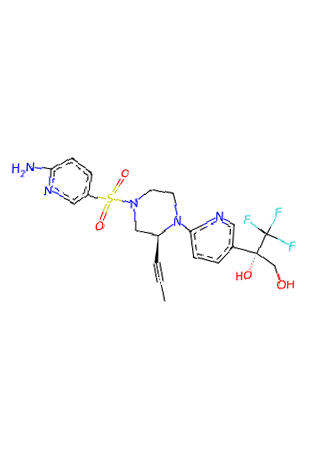 CC#C[C@H]1CN(S(=O)(=O)c2ccc(N)nc2)CCN1c1ccc([C@](O)(CO)C(F)(F)F)cn1